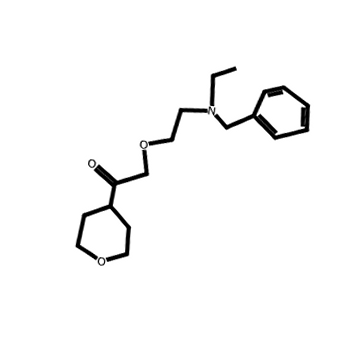 CCN(CCOCC(=O)C1CCOCC1)Cc1ccccc1